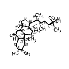 C[C@H]([C@H](O)CCC(C)(O)C(=O)O)[C@H]1CC[C@@]2(O)C3=CC(=O)[C@@H]4C[C@@H](O)[C@@H](O)C[C@]4(C)C3CC[C@]12C